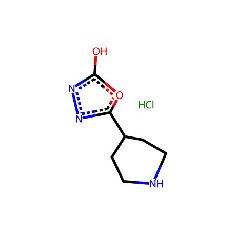 Cl.Oc1nnc(C2CCNCC2)o1